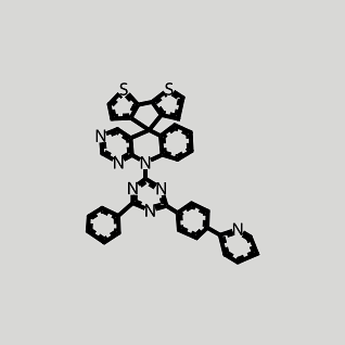 c1ccc(-c2nc(-c3ccc(-c4ccccn4)cc3)nc(N3c4ccccc4C4(c5cncnc53)c3ccsc3-c3sccc34)n2)cc1